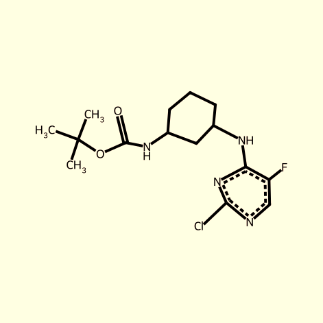 CC(C)(C)OC(=O)NC1CCCC(Nc2nc(Cl)ncc2F)C1